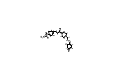 CS(=O)(=O)c1ccc(CCC(=O)N2CCN(CCOc3ccc(F)cc3)CC2)cc1